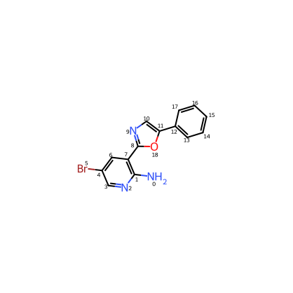 Nc1ncc(Br)cc1-c1ncc(-c2ccccc2)o1